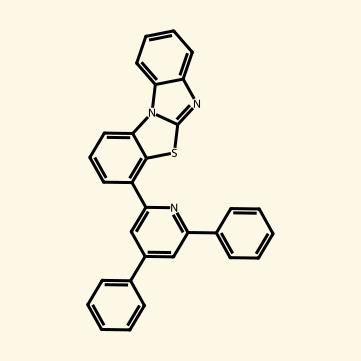 c1ccc(-c2cc(-c3ccccc3)nc(-c3cccc4c3sc3nc5ccccc5n34)c2)cc1